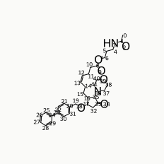 CC(=O)NCCCOC(=O)CC/C=C\CCC1[C@@H](OCc2ccc(-c3ccccc3)cc2)CC(=O)[C@@H]1N1CCOCC1